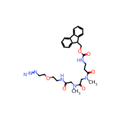 CN(CC(=O)NCCOCCN=[N+]=[N-])C(=O)CN(C)C(=O)CCNC(=O)OCC1c2ccccc2-c2ccccc21